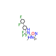 CCC[C@H](N[C@@H](c1ccc(-c2ccc(F)cc2F)cc1)C(F)(F)F)C(=O)NC1(C#N)CC1